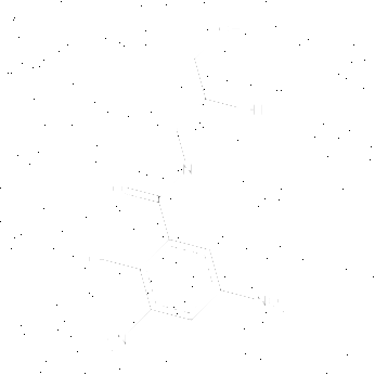 O=C(NCC(O)CO)c1cc([N+](=O)[O-])cc([N+](=O)[O-])c1Cl